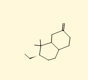 CC[C@@H]1CCC2CCC(=O)C[C@@H]2C1(C)C